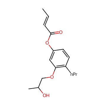 CC=CC(=O)Oc1ccc(CCC)c(OCC(C)O)c1